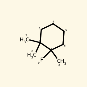 CC1(C)CCCCC1(C)F